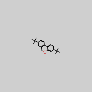 CC(C)(C)c1ccc2c(c1)COc1cc(C(C)(C)C)ccc1-2